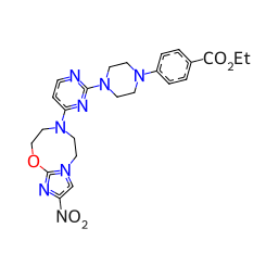 CCOC(=O)c1ccc(N2CCN(c3nccc(N4CCOc5nc([N+](=O)[O-])cn5CC4)n3)CC2)cc1